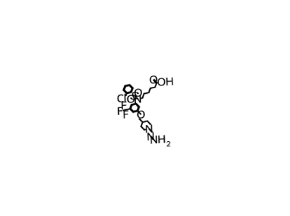 NN=CN1CCC(COc2cc(N(CCCCCC(=O)O)S(=O)(=O)c3ccccc3Cl)cc(C(F)(F)F)c2)CC1